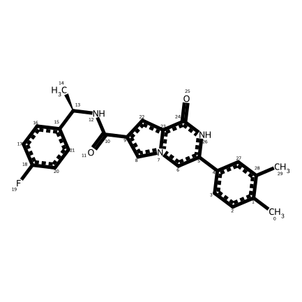 Cc1ccc(-c2cn3cc(C(=O)N[C@H](C)c4ccc(F)cc4)cc3c(=O)[nH]2)cc1C